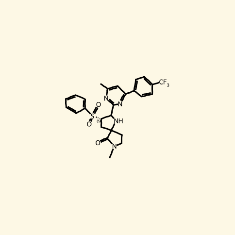 Cc1cc(-c2ccc(C(F)(F)F)cc2)nc(C2NC3(CCN(C)C3=O)C[C@@H]2S(=O)(=O)c2ccccc2)n1